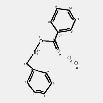 O=C([O][Ti+2][CH2]c1ccccc1)c1ccccc1.[Cl-].[Cl-]